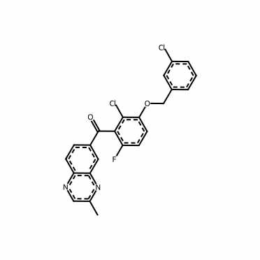 Cc1cnc2ccc(C(=O)c3c(F)ccc(OCc4cccc(Cl)c4)c3Cl)cc2n1